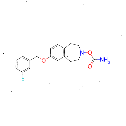 NC(=O)ON1CCc2ccc(OCc3cccc(F)c3)cc2CC1